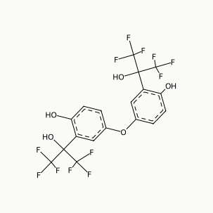 Oc1ccc(Oc2ccc(O)c(C(O)(C(F)(F)F)C(F)(F)F)c2)cc1C(O)(C(F)(F)F)C(F)(F)F